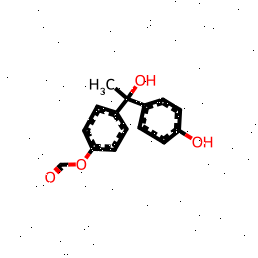 CC(O)(c1ccc(O)cc1)c1ccc(OC=O)cc1